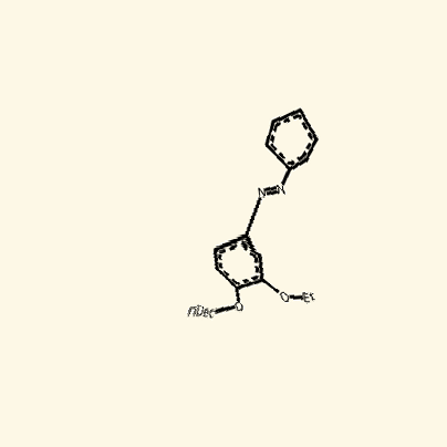 CCCCCCCCCCOc1ccc(N=Nc2ccccc2)cc1OCC